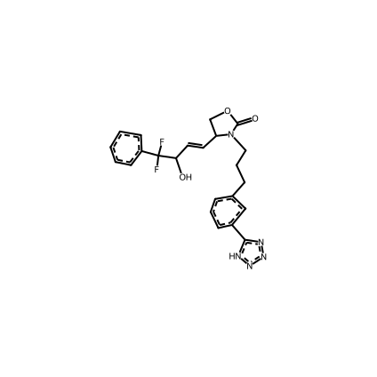 O=C1OCC(C=CC(O)C(F)(F)c2ccccc2)N1CCCc1cccc(-c2nnn[nH]2)c1